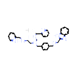 CC(NCN(CCNCc1ccccn1)Cc1ccc(CNCc2nc3ccccc3[nH]2)cc1)c1ccccn1